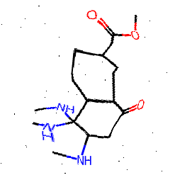 CNC1CC(=O)C2CC(C(=O)OC)CCC2C1(NC)NC